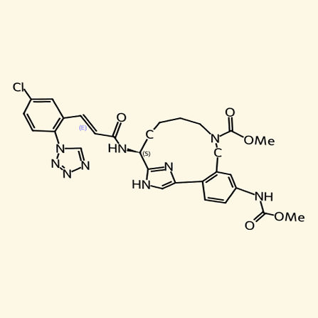 COC(=O)Nc1ccc2c(c1)CN(C(=O)OC)CCCC[C@H](NC(=O)/C=C/c1cc(Cl)ccc1-n1cnnn1)c1nc-2c[nH]1